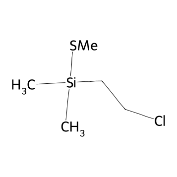 CS[Si](C)(C)CCCl